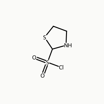 O=S(=O)(Cl)C1NCCS1